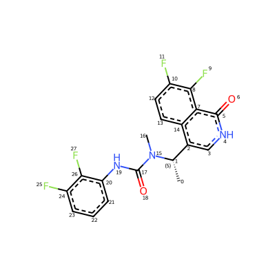 C[C@@H](c1c[nH]c(=O)c2c(F)c(F)ccc12)N(C)C(=O)Nc1cccc(F)c1F